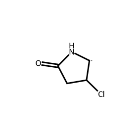 O=C1CC(Cl)[CH]N1